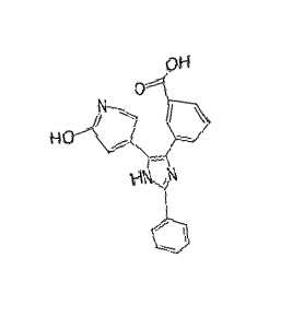 O=C(O)c1cccc(-c2nc(-c3ccccc3)[nH]c2-c2ccnc(O)c2)c1